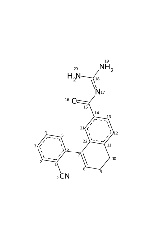 N#Cc1ccccc1C1=CCCc2ccc(C(=O)N=C(N)N)cc21